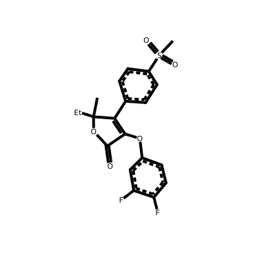 CCC1(C)OC(=O)C(Oc2ccc(F)c(F)c2)=C1c1ccc(S(C)(=O)=O)cc1